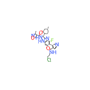 Cc1nocc1C(=O)N[C@H](c1nc2c(F)c(-c3cnccc3C(=O)NCCCCl)ccc2[nH]1)C1CCC(C)CC1